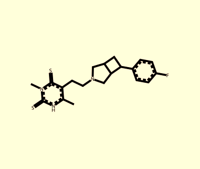 Cc1[nH]c(=S)n(C)c(=S)c1CCN1CC2CC(c3ccc(F)cc3)C2C1